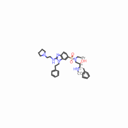 CC(C)CN(C[C@@H](O)[C@H](Cc1ccccc1)NC(=O)O)S(=O)(=O)c1ccc2nc(NCCN3CCCC3)n(CCc3ccccc3)c2c1